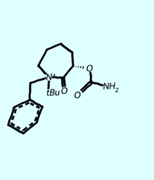 CC(C)(C)[N+]1(Cc2ccccc2)CCCC[C@H](OC(N)=O)C1=O